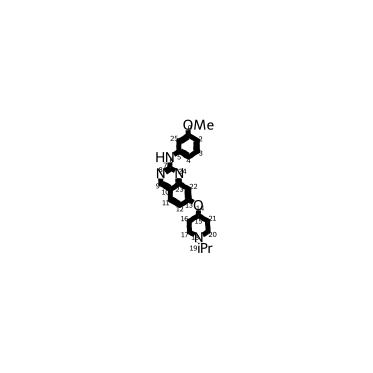 COc1cccc(Nc2ncc3ccc(OC4CCN(C(C)C)CC4)cc3n2)c1